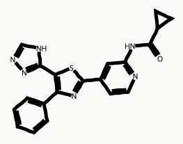 O=C(Nc1cc(-c2nc(-c3ccccc3)c(-c3nnc[nH]3)s2)ccn1)C1CC1